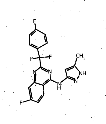 Cc1cc(Nc2nc(C(F)(F)c3ccc(F)cc3)nc3cc(F)ccc23)n[nH]1